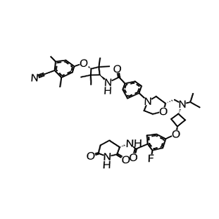 Cc1cc(O[C@H]2C(C)(C)[C@H](NC(=O)c3ccc(N4CCO[C@@H](CN(C(C)C)[C@H]5C[C@H](Oc6ccc(C(=O)N[C@H]7CCC(=O)NC7=O)c(F)c6)C5)C4)cc3)C2(C)C)cc(C)c1C#N